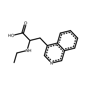 CCNC(Cc1cncc2ccccc12)C(=O)O